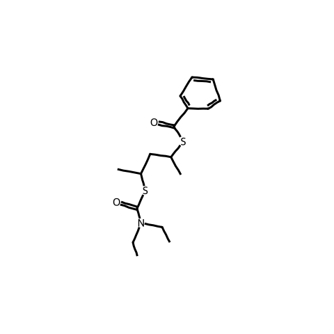 CCN(CC)C(=O)SC(C)CC(C)SC(=O)c1ccccc1